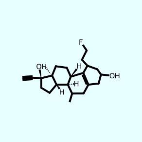 C#C[C@@]1(O)CC[C@H]2[C@@H]3C(C)CC4=C(C(CCF)CC(O)C4)[C@H]3CC[C@@]21C